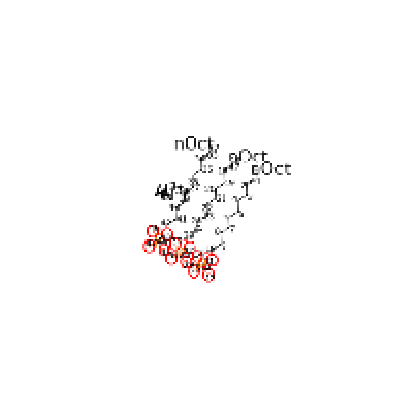 CCCCCCCCC=CCCCCCCCCOP(=O)([O-])[O-].CCCCCCCCC=CCCCCCCCCOP(=O)([O-])[O-].CCCCCCCCC=CCCCCCCCCOP(=O)([O-])[O-].[Al+3].[Al+3]